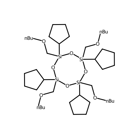 CCCCOC[Si]1(C2CCCC2)O[Si](COCCCC)(C2CCCC2)O[Si](COCCCC)(C2CCCC2)O[Si](COCCCC)(C2CCCC2)O1